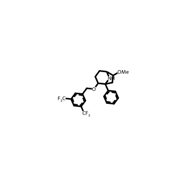 COC1CC2(c3ccccc3)NC1CCC2OCc1cc(C(F)(F)F)cc(C(F)(F)F)c1